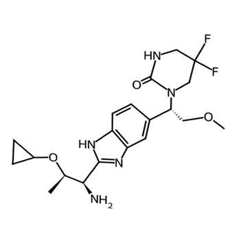 COC[C@H](c1ccc2[nH]c([C@@H](N)[C@@H](C)OC3CC3)nc2c1)N1CC(F)(F)CNC1=O